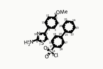 COc1ccc(-c2csc(N)n2)cc1.O=S(=O)(Cl)c1ccc(-c2ccccc2)cc1